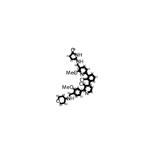 COc1cc(-c2nccc(-c3cccc(-c4ccc(CN[C@@H]5CCC(=O)N5)c(OC)n4)c3Cl)c2Cl)ccc1CNC1CCOCC1